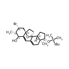 C[C@@H]1[C@H](Br)C[C@@]23CC[C@@]4(O2)C(=CC[C@]2(C)[C@@H](O[Si](C)(C)C(C)(C)C)CC[C@H]24)C=C3[C@H]1O